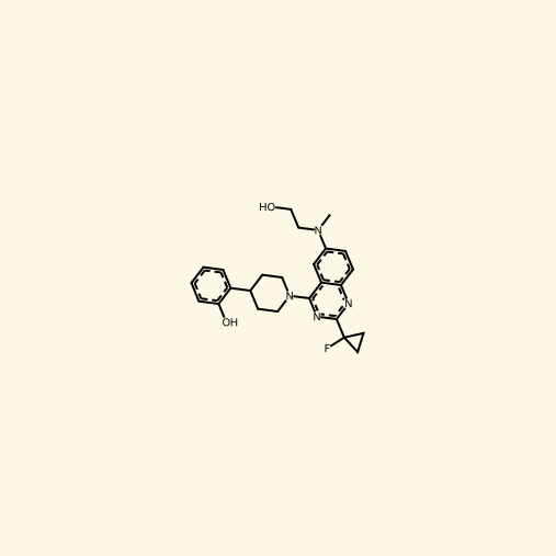 CN(CCO)c1ccc2nc(C3(F)CC3)nc(N3CCC(c4ccccc4O)CC3)c2c1